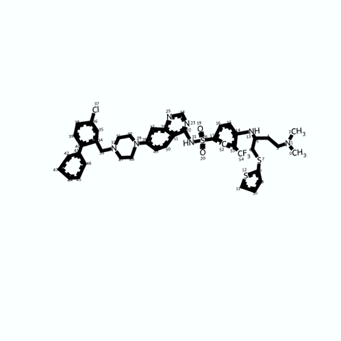 CN(C)CCC(CSc1cccs1)Nc1ccc(S(=O)(=O)Nc2ncnc3cc(N4CCN(Cc5cc(Cl)ccc5-c5ccccc5)CC4)ccc23)cc1C(F)(F)F